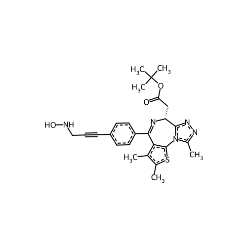 Cc1sc2c(c1C)C(c1ccc(C#CCNO)cc1)=N[C@H](CC(=O)OC(C)(C)C)c1nnc(C)n1-2